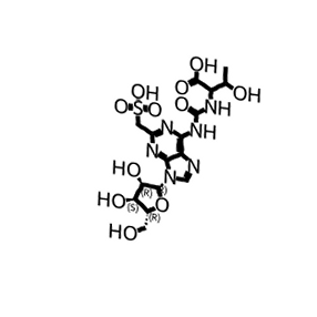 CC(O)C(NC(=O)Nc1nc(CS(=O)(=O)O)nc2c1ncn2[C@@H]1O[C@H](CO)[C@@H](O)[C@H]1O)C(=O)O